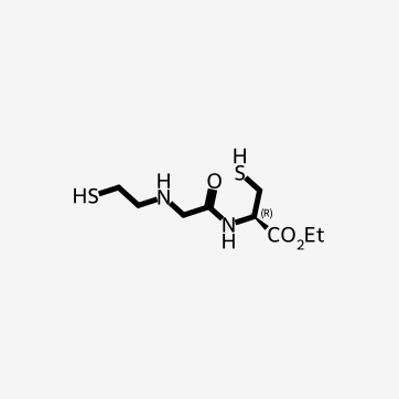 CCOC(=O)[C@H](CS)NC(=O)CNCCS